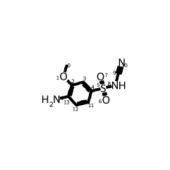 COc1cc(S(=O)(=O)NC#N)ccc1N